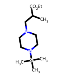 CCOC(=O)C(C)CN1CCN([Si](C)(C)C)CC1